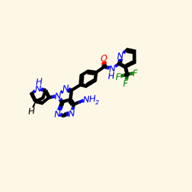 Nc1ncnc2c1c(-c1ccc(C(=O)Nc3ncccc3C(F)(F)F)cc1)nn2C1C[C@@H]2CNC1C2